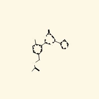 CC(C)C(=O)NCc1ccc(Cl)c(-c2nc(-c3ccsc3)cc(=O)[nH]2)c1